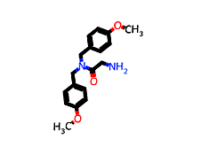 COc1ccc(CN(Cc2ccc(OC)cc2)C(=O)CN)cc1